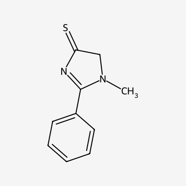 CN1CC(=S)N=C1c1ccccc1